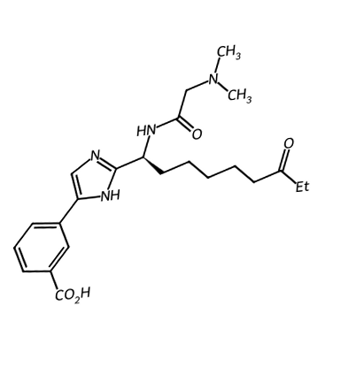 CCC(=O)CCCCC[C@H](NC(=O)CN(C)C)c1ncc(-c2cccc(C(=O)O)c2)[nH]1